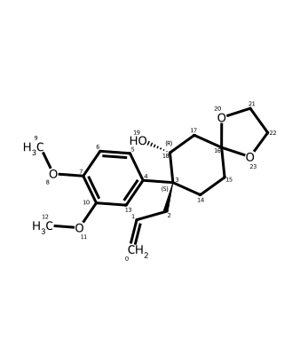 C=CC[C@]1(c2ccc(OC)c(OC)c2)CCC2(C[C@H]1O)OCCO2